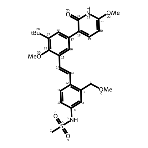 COCc1cc(NS(C)(=O)=O)ccc1C=Cc1cc(-c2ccc(OC)[nH]c2=O)cc(C(C)(C)C)c1OC